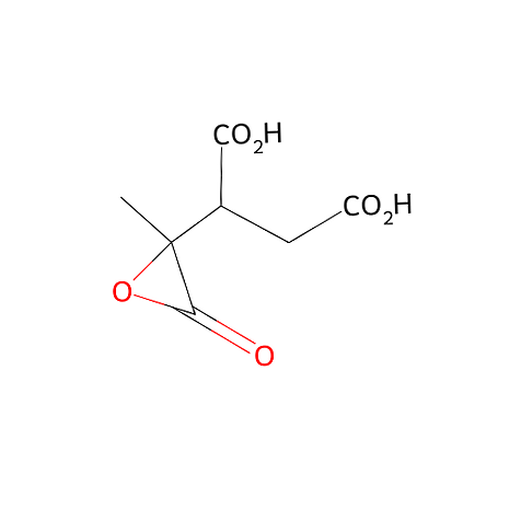 CC1(C(CC(=O)O)C(=O)O)OC1=O